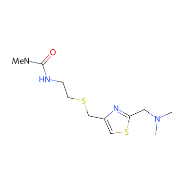 CNC(=O)NCCSCc1csc(CN(C)C)n1